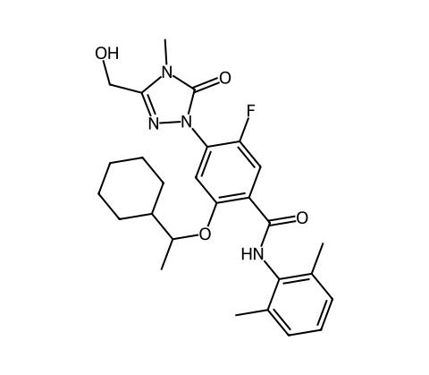 Cc1cccc(C)c1NC(=O)c1cc(F)c(-n2nc(CO)n(C)c2=O)cc1OC(C)C1CCCCC1